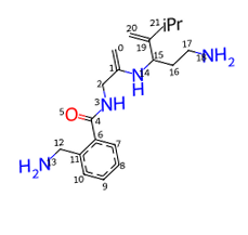 C=C(CNC(=O)c1ccccc1CN)NC(CCN)C(=C)C(C)C